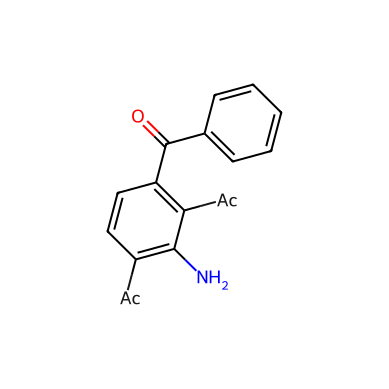 CC(=O)c1ccc(C(=O)c2ccccc2)c(C(C)=O)c1N